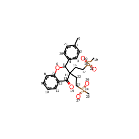 Cc1ccc(C2Oc3ccccc3C(=O)C2(CCS(C)(=O)=O)CCS(C)(=O)=O)cc1